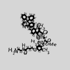 COC(=O)[C@H](CNC(=O)c1cn(C)c2cc(CNc3nccn3C(c3ccccc3)(c3ccccc3)c3ccccc3)ccc2c1=O)NSc1c(C)cc(OCCCC(=O)NCCN)cc1C